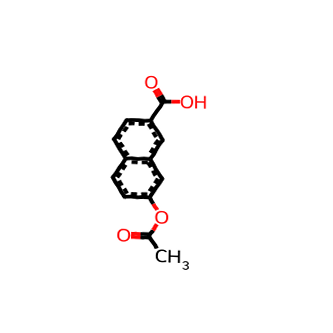 CC(=O)Oc1ccc2ccc(C(=O)O)cc2c1